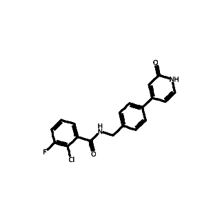 O=C(NCc1ccc(-c2cc[nH]c(=O)c2)cc1)c1cccc(F)c1Cl